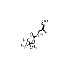 CC(C)(C)OC(=O)NC/C(F)=C\CO